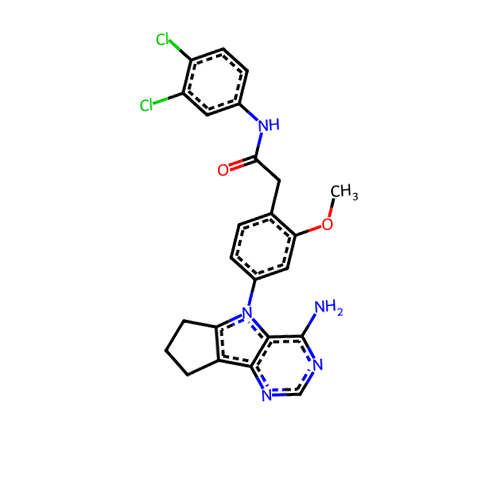 COc1cc(-n2c3c(c4ncnc(N)c42)CCC3)ccc1CC(=O)Nc1ccc(Cl)c(Cl)c1